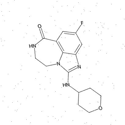 O=C1NCCn2c(NC3CCOCC3)nc3cc(F)cc1c32